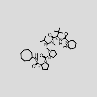 CC(C)[C@@H](CN1CCC[C@H]1C(=O)N1CCC[C@H]1C(=O)NC1CCCCCCC1)N(C)C(=O)[C@@H](NC(=O)[C@H]1CCCCN1C)C(C)(C)C